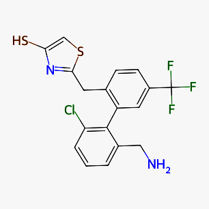 NCc1cccc(Cl)c1-c1cc(C(F)(F)F)ccc1Cc1nc(S)cs1